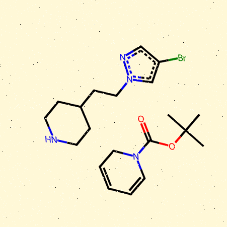 Brc1cnn(CCC2CCNCC2)c1.CC(C)(C)OC(=O)N1C=CC=CC1